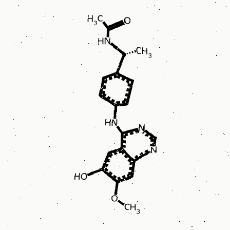 COc1cc2ncnc(Nc3ccc([C@@H](C)NC(C)=O)cc3)c2cc1O